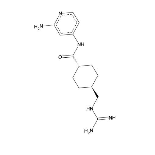 N=C(N)NC[C@H]1CC[C@H](C(=O)Nc2ccnc(N)c2)CC1